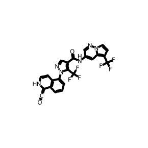 O=C=C1NC=Cc2c1cccc2-n1ncc(C(=O)Nc2cnn3ccc(C(F)(F)F)c3c2)c1C(F)(F)F